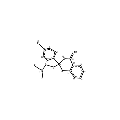 CN(C)CCC1(c2ccc(F)cc2)Cc2ccccc2C(=O)O1